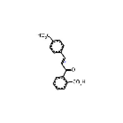 O=C(O)c1ccc(/C=C/C(=O)c2ccccc2C(=O)O)cc1